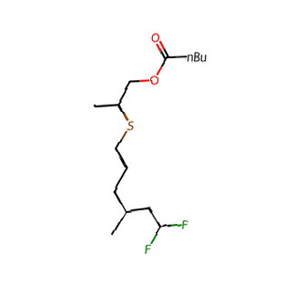 CCCCC(=O)OCC(C)SCCCC(C)CC(F)F